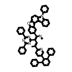 C=N/C(=C(\C=C(/C)c1ccc(-c2c(-c3ccccc3)cccc2-c2ccccc2)cn1)c1nc(-c2ccccc2)nc(-c2ccccc2)n1)c1ccc2oc3ccc4c(c5ccccc5n4-c4ccccc4)c3c2c1